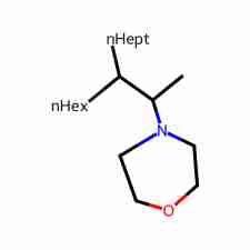 CCCCCCCC(CCCCCC)C(C)N1CCOCC1